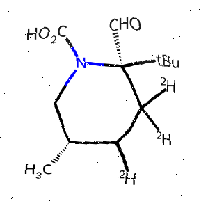 [2H]C1[C@H](C)CN(C(=O)O)[C@@](C=O)(C(C)(C)C)C1([2H])[2H]